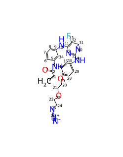 C=CC(=O)Nc1cccc(Nc2nc(Nc3ccc(OCCOCCN=[N+]=[N-])cc3)ncc2F)c1